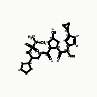 CN(C)S(=O)(=O)NC(CNC(=O)C1CC(O)CN1C(=O)[C@@H](n1cc(C2CC2)nn1)C(C)(C)C)C1CCCC1